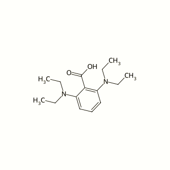 CCN(CC)c1cccc(N(CC)CC)c1C(=O)O